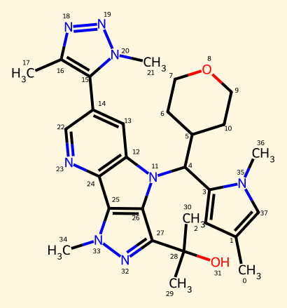 Cc1cc(C(C2CCOCC2)n2c3cc(-c4c(C)nnn4C)cnc3c3c2c(C(C)(C)O)nn3C)n(C)c1